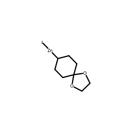 [I][Zn][CH]1CCC2(CC1)OCCO2